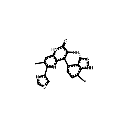 Cc1cc2[nH]c(=O)c(N)c(-c3ccc(F)c4[nH]ncc34)c2nc1-c1cscn1